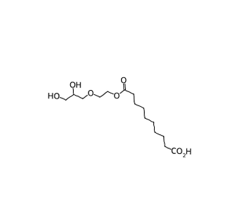 O=C(O)CCCCCCCCC(=O)OCCOCC(O)CO